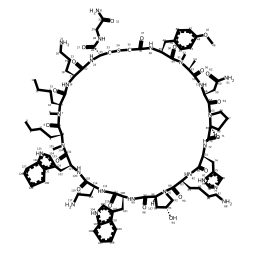 CCCC[C@H]1C(=O)N(C)[C@@H](CCCC)C(=O)N[C@@H](CCCN)C(=O)N[C@H](C(=O)NCC(N)=O)CSCC(=O)N[C@@H](Cc2ccc(OC)cc2)C(=O)N(C)[C@@H](C)C(=O)N[C@@H](CC(N)=O)C(=O)N2CCC[C@H]2C(=O)N[C@@H](Cc2cnc[nH]2)C(=O)N[C@@H](CCCCN)C(=O)N2C[C@H](O)C[C@H]2C(=O)N[C@@H](Cc2c[nH]c3ccccc23)C(=O)N[C@@H](CCN)C(=O)N[C@@H](Cc2c[nH]c3ccccc23)C(=O)N1C